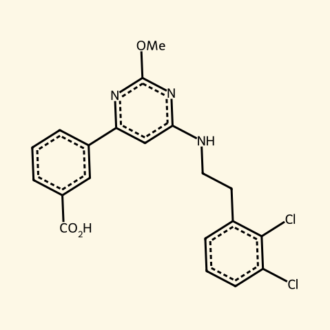 COc1nc(NCCc2cccc(Cl)c2Cl)cc(-c2cccc(C(=O)O)c2)n1